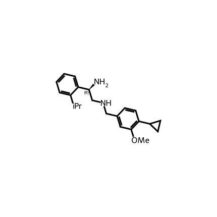 COc1cc(CNC[C@H](N)c2ccccc2C(C)C)ccc1C1CC1